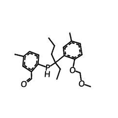 CCCC(CC)(Pc1ccc(C)cc1C=O)c1cc(C)ccc1OCOC